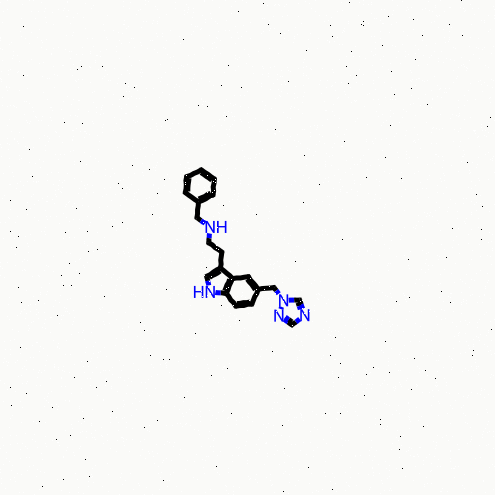 c1ccc(CNCCc2c[nH]c3ccc(Cn4cncn4)cc23)cc1